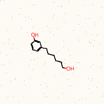 OCCCCCCc1cccc(O)c1